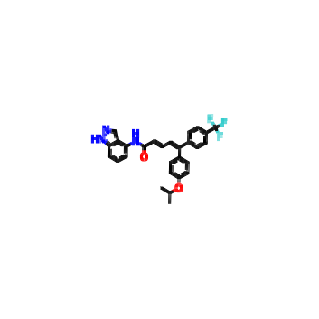 CC(C)Oc1ccc(C(=CC=CC(=O)Nc2cccc3[nH]ncc23)c2ccc(C(F)(F)F)cc2)cc1